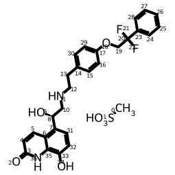 CS(=O)(=O)O.O=c1ccc2c([C@@H](O)CNCCc3ccc(OCC(F)(F)c4ccccc4)cc3)ccc(O)c2[nH]1